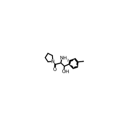 Cc1ccc(C(O)C(N)C(=O)N2CCCC2)cc1